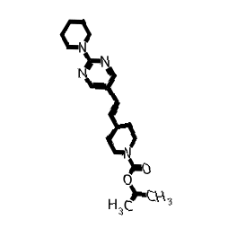 CC(C)OC(=O)N1CCC(/C=C/c2cnc(N3CCCCC3)nc2)CC1